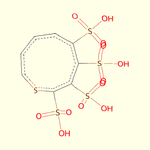 O=S(=O)(O)c1ccccsc(S(=O)(=O)O)c(S(=O)(=O)O)c1S(=O)(=O)O